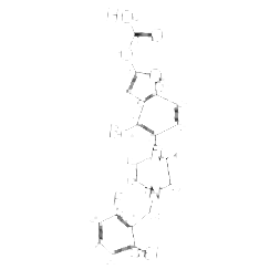 O=C(O)Oc1cc2c(Br)c(N3CCN(Cc4c(F)cccc4Cl)CC3)ccc2o1